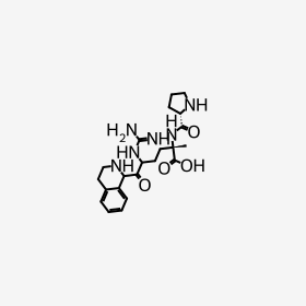 C[C@@](CCC(NC(=N)N)C(=O)C1NCCc2ccccc21)(NC(=O)[C@@H]1CCCN1)C(=O)O